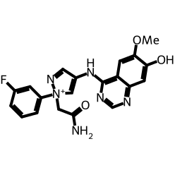 COc1cc2c(NC3=C[N+](CC(N)=O)(c4cccc(F)c4)N=C3)ncnc2cc1O